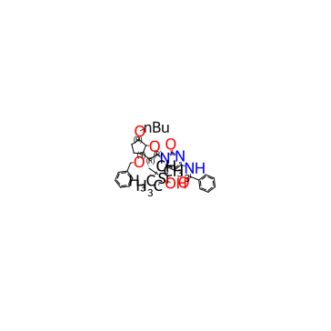 CCCCO[C@@H]1CC[C@@]2(OCc3ccccc3)C1O[C@@H](n1ccc(NC(=O)c3ccccc3)nc1=O)[C@@H]2CC(C)(C)[Si](C)(C)O